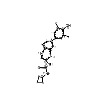 Cc1cc(-c2ccc3ncc(NC(=S)NC4CCC4)nc3c2)cc(C)c1O